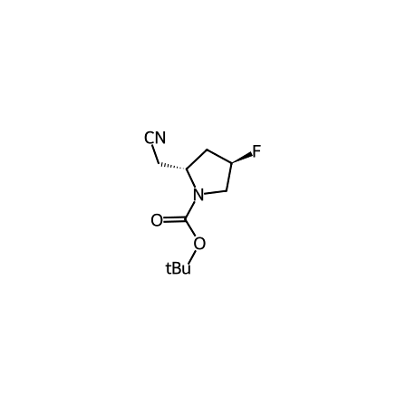 CC(C)(C)OC(=O)N1C[C@H](F)C[C@H]1CC#N